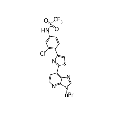 CCCn1cnc2c(-c3nc(-c4ccc(NS(=O)(=O)C(F)(F)F)cc4Cl)cs3)ccnc21